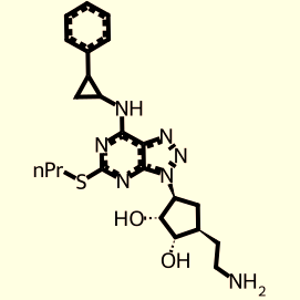 CCCSc1nc(NC2CC2c2ccccc2)c2nnn([C@H]3C[C@@H](CCN)[C@H](O)[C@@H]3O)c2n1